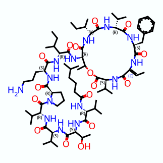 C/C=C1\NC(=O)[C@H](Cc2ccccc2)NC(=O)[C@@H](C(C)C)NC(=O)[C@@H](C(C)CC)NC(=O)[C@H](NC(=O)[C@H](NC(=O)[C@H](CCCN)NC(=O)[C@H]2CCCN2C(=O)[C@H](NC(=O)[C@@H](NC(=O)[C@@H](NC(=O)[C@H](NC(=O)CCCC(C)C)C(C)C)C(C)O)C(C)C)C(C)C)C(C)CC)C(C)OC(=O)[C@H](C(C)C)NC1=O